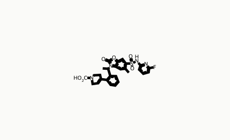 Cc1cc2c(cc1S(=O)(=O)Nc1cccc(F)n1)oc(=O)n2C(C)c1ccccc1C1=CCN(C(=O)O)CC1